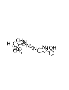 COC(=O)C(c1cc(N2CC3(CN(c4ccc5cc(-c6ccccc6O)nnc5c4)C3)C2)no1)C(C)C